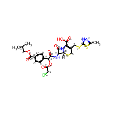 Cc1nnc(SCC2=C(C(=O)O)N3C(=O)C(NC(=O)C(OC(=O)CCl)c4ccc(C(=O)OCC(C)C)cc4)[C@@H]3SC2)s1